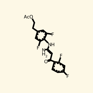 CC(=O)OCCc1cc(F)c(N/C(N)=C/C(=O)c2ccc(F)cc2F)c(F)c1